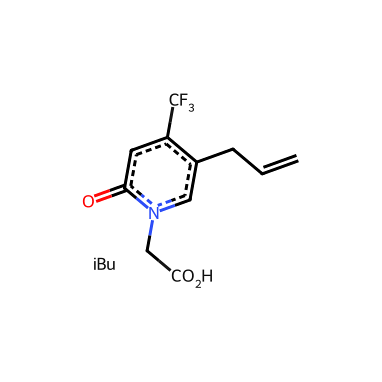 C=CCc1cn(C(C(=O)O)[C@H](C)CC)c(=O)cc1C(F)(F)F